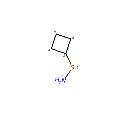 NSC1CCC1